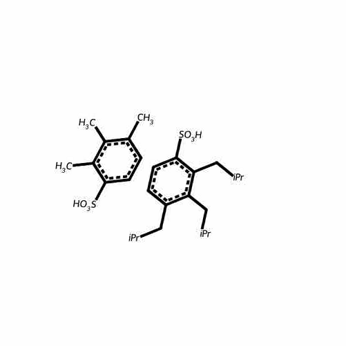 CC(C)Cc1ccc(S(=O)(=O)O)c(CC(C)C)c1CC(C)C.Cc1ccc(S(=O)(=O)O)c(C)c1C